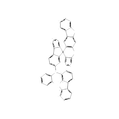 Cc1ccccc1N(c1ccc2c(c1)C1(c3ccccc3Sc3cc4sc5ccccc5c4cc31)c1ccccc1-2)c1cccc2c1oc1ccccc12